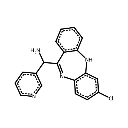 NC(C1=Nc2ccc(Cl)cc2Nc2ccccc21)c1cccnc1